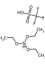 CCO[SiH](OCC)OCC.O=S(=O)(O)C(F)(F)F